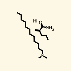 C=C(CCC)C(N)=O.CCCCCCCCCCCCN(C)C.I